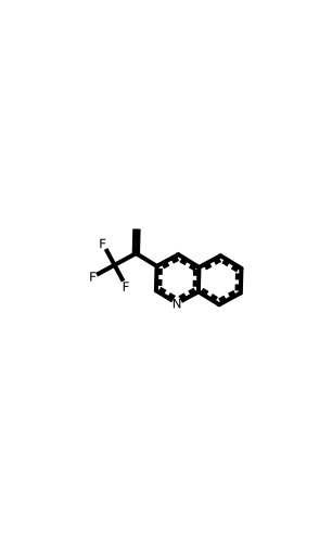 C=C(c1cnc2ccccc2c1)C(F)(F)F